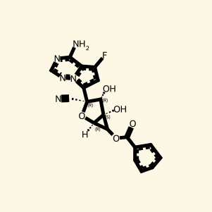 N#C[C@@]1(c2cc(F)c3c(N)ncnn23)O[C@@H]2C(OC(=O)c3ccccc3)[C@]2(O)[C@H]1O